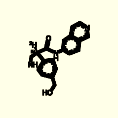 [2H][C@](CN)(C(=O)Nc1ccc2cnccc2c1)c1ccc(CO)cc1